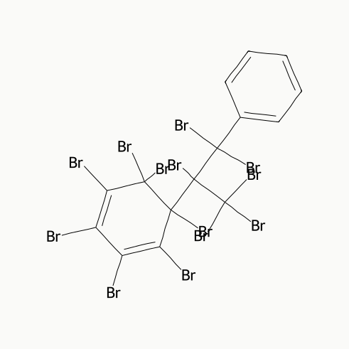 BrC1=C(Br)C(Br)(Br)C(Br)(C(Br)(C(Br)(Br)Br)C(Br)(Br)c2ccccc2)C(Br)=C1Br